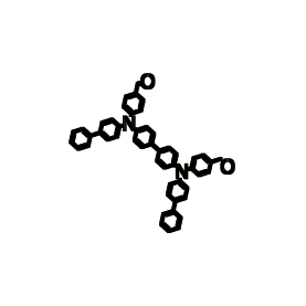 O=Cc1ccc(N(c2ccc(-c3ccccc3)cc2)c2ccc(-c3ccc(N(c4ccc(C=O)cc4)c4ccc(-c5ccccc5)cc4)cc3)cc2)cc1